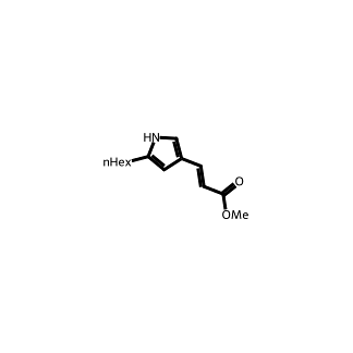 CCCCCCc1cc(/C=C/C(=O)OC)c[nH]1